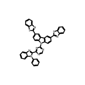 c1ccc(-n2c(-c3ncnc(-n4c5ccc(-c6nc7ccccc7s6)cc5c5cc(-c6nc7ccccc7s6)ccc54)n3)nc3ccccc32)cc1